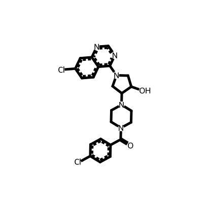 O=C(c1ccc(Cl)cc1)N1CCN(C2CN(c3ncnc4cc(Cl)ccc34)CC2O)CC1